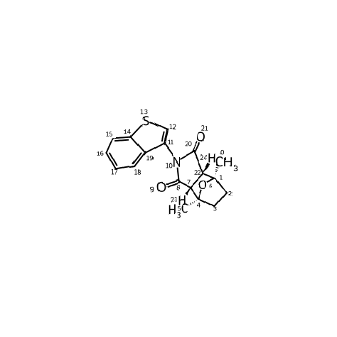 C[C@]12CC[C@](C)(O1)[C@@H]1C(=O)N(c3csc4ccccc34)C(=O)[C@@H]12